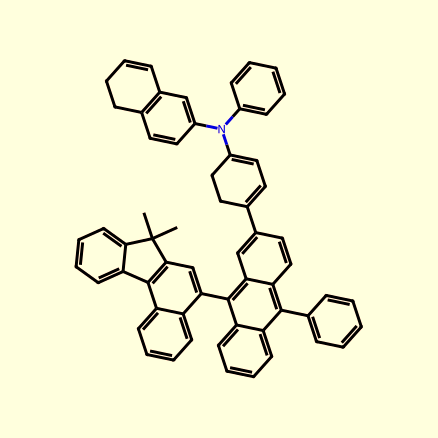 CC1(C)c2ccccc2-c2c1cc(-c1c3ccccc3c(-c3ccccc3)c3ccc(C4=CC=C(N(c5ccccc5)c5ccc6c(c5)C=CCC6)CC4)cc13)c1ccccc21